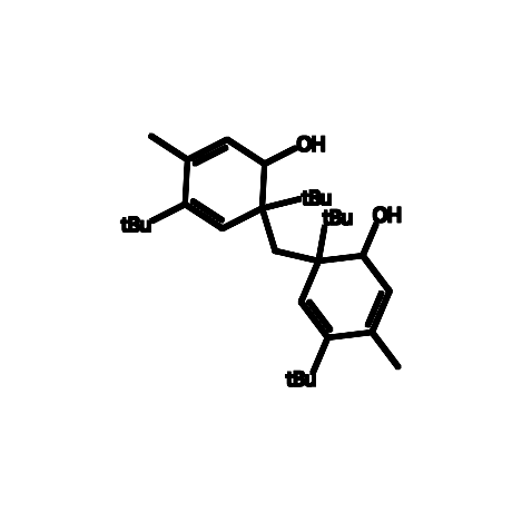 CC1=CC(O)C(CC2(C(C)(C)C)C=C(C(C)(C)C)C(C)=CC2O)(C(C)(C)C)C=C1C(C)(C)C